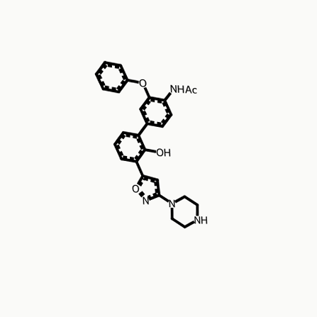 CC(=O)Nc1ccc(-c2cccc(-c3cc(N4CCNCC4)no3)c2O)cc1Oc1ccccc1